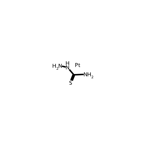 NNC(N)=S.[Pt]